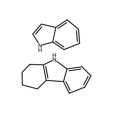 c1ccc2[nH]ccc2c1.c1ccc2c3c([nH]c2c1)CCCC3